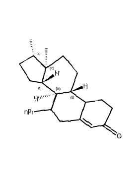 CCCC1CC2=CC(=O)CCC2[C@H]2CC[C@]3(C)[C@@H](C)CC[C@H]3[C@H]12